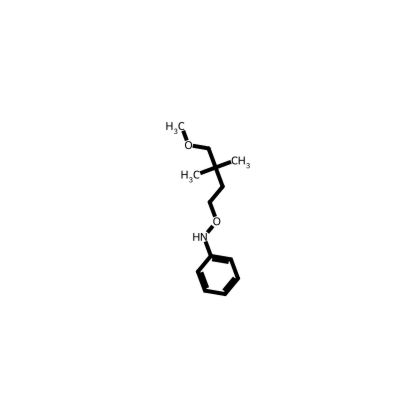 COCC(C)(C)CCONc1ccccc1